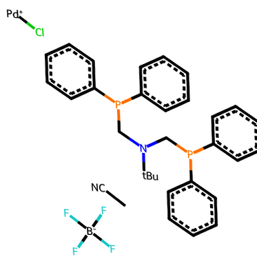 CC#N.CC(C)(C)N(CP(c1ccccc1)c1ccccc1)CP(c1ccccc1)c1ccccc1.F[B-](F)(F)F.[Cl][Pd+]